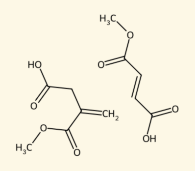 C=C(CC(=O)O)C(=O)OC.COC(=O)C=CC(=O)O